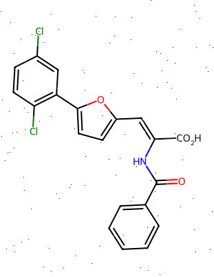 O=C(O)C(=Cc1ccc(-c2cc(Cl)ccc2Cl)o1)NC(=O)c1ccccc1